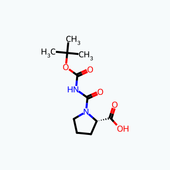 CC(C)(C)OC(=O)NC(=O)N1CCC[C@H]1C(=O)O